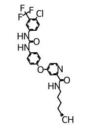 C#CCCCCNC(=O)c1cc(Oc2ccc(NC(=O)Nc3ccc(Cl)c(C(F)(F)F)c3)cc2)ccn1